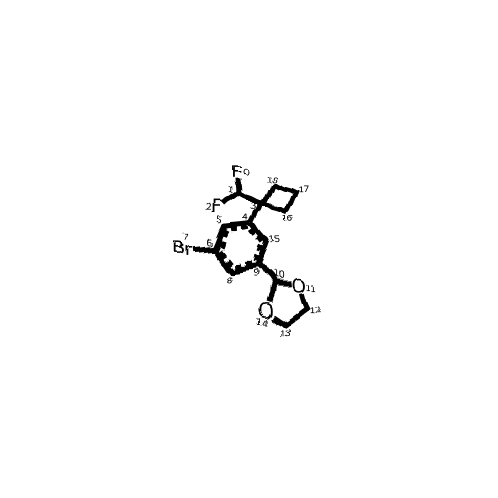 FC(F)C1(c2cc(Br)cc(C3OCCO3)c2)CCC1